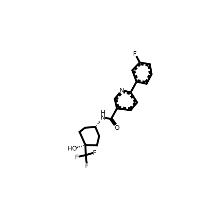 O=C(N[C@H]1CC[C@](O)(C(F)(F)F)CC1)c1ccc(-c2cccc(F)c2)nc1